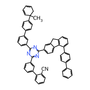 CC1(c2ccc(-c3cccc(-c4nc(-c5cccc(-c6ccccc6C#N)c5)nc(-c5ccc6c(c5)Cc5cccc(-c7ccc(-c8ccccc8)cc7)c5-6)n4)c3)cc2)C=CC=CC1